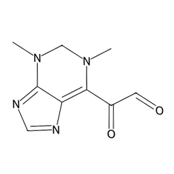 CN1CN(C)C(C(=O)C=O)=C2N=CN=C21